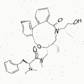 C[C@H]1CN([C@@H](C)CO)C(=O)c2ccccc2-c2ccccc2CO[C@H]1CN(C)C(=O)[C@H](Cc1ccccc1)N(C)C